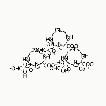 O=[C]C(O)C(O)C(=O)c1c2nc(c(C(=O)[O-])c3ccc(cc4nc(cc5ccc1[nH]5)C=C4)[nH]3)C=C2.O=[C]C(O)C(O)C(=O)c1c2nc(c(C(=O)[O-])c3ccc(cc4nc(cc5ccc1[nH]5)C=C4)[nH]3)C=C2.O=[C]C(O)C(O)C(=O)c1c2nc(c(C(=O)[O-])c3ccc(cc4nc(cc5ccc1[nH]5)C=C4)[nH]3)C=C2.[Co+3]